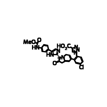 COC(=O)Nc1ccc(-c2cnc([C@H]3C(=O)CC4=CC(c5cc(Cl)ccc5-n5cc(C(=O)O)nn5)=CCN43)[nH]2)cc1